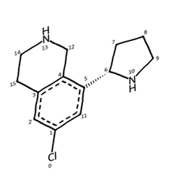 Clc1cc2c(c([C@@H]3CCCN3)c1)CNCC2